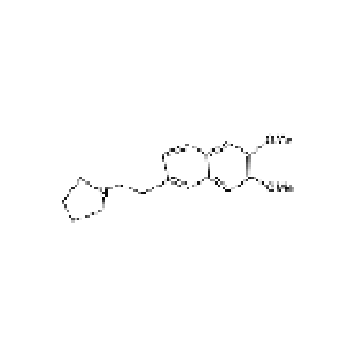 COc1cc2ccc(CCN3CCCC3)cc2cc1OC